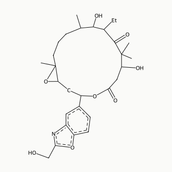 CCC1C(=O)C(C)(C)C(O)CC(=O)OC(c2ccc3oc(CO)nc3c2)CC2OC2(C)CCCC(C)C1O